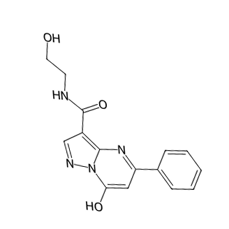 O=C(NCCO)c1cnn2c(O)cc(-c3ccccc3)nc12